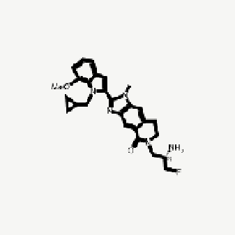 COc1cccc2cc(-c3nc4cc5c(cc4n3C)CCN(C[C@H](N)CF)C5=O)n(CC3CC3)c12